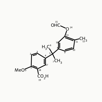 COc1ccc(C(C)(C)c2ccc(C)c(OC=O)c2)cc1C(=O)O